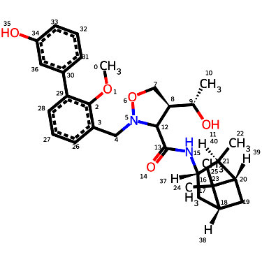 COc1c(CN2OC[C@@H]([C@H](C)O)C2C(=O)N[C@H]2C[C@H]3C[C@@H]([C@@H]2C)C3(C)C)cccc1-c1cccc(O)c1